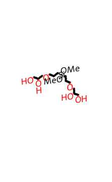 CO[Si](CCCOCC(O)CO)(CCCOCC(O)CO)OC